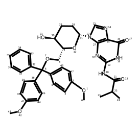 COc1ccc(C(OC[C@H]2O[C@@H](n3cnc4c(=O)[nH]c(NC(=O)C(C)C)nc43)CC[C@@H]2O)(c2ccccc2)c2ccc(OC)cc2)cc1